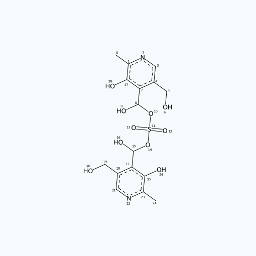 Cc1ncc(CO)c(C(O)OS(=O)(=O)OC(O)c2c(CO)cnc(C)c2O)c1O